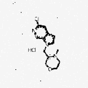 CN1CCOCC1Cn1ccc2cc(Cl)nnc21.Cl